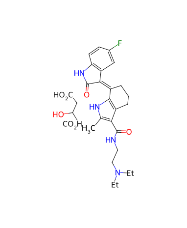 CCN(CC)CCNC(=O)c1c(C)[nH]c2c1CCC/C2=C1/C(=O)Nc2ccc(F)cc21.O=C(O)CC(O)C(=O)O